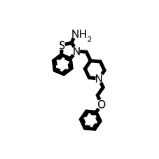 NC1Sc2ccccc2N1CC1CCN(CCOc2ccccc2)CC1